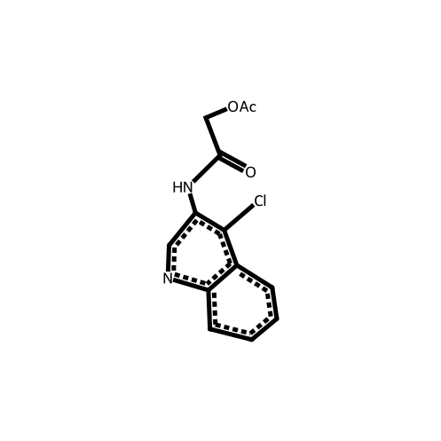 CC(=O)OCC(=O)Nc1cnc2ccccc2c1Cl